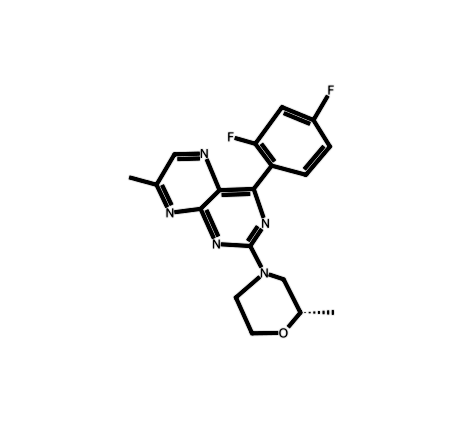 Cc1cnc2c(-c3ccc(F)cc3F)nc(N3CCO[C@@H](C)C3)nc2n1